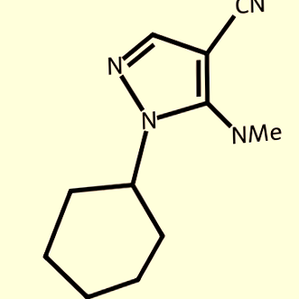 CNc1c(C#N)cnn1C1CCCCC1